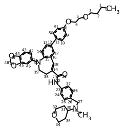 CCCCOCCOc1ccc(-c2ccc3c(c2)C=C(C(=O)Nc2ccc(CN(C)C4CCOCC4)cc2)CCN3c2ccc3c(c2)OCO3)cc1